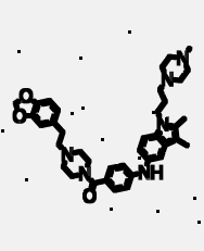 Cc1c(C)n(CCCN2CCN(C)CC2)c2ccc(Nc3ccc(C(=O)N4CCN(CCc5ccc6c(c5)OCO6)CC4)cc3)cc12